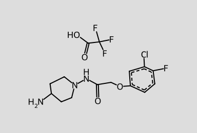 NC1CCN(NC(=O)COc2ccc(F)c(Cl)c2)CC1.O=C(O)C(F)(F)F